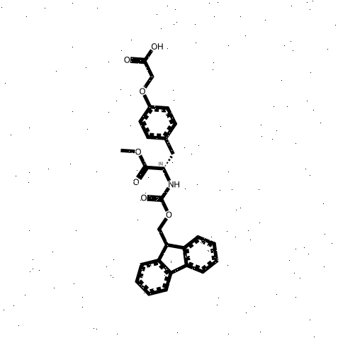 COC(=O)[C@H](Cc1ccc(OCC(=O)O)cc1)NC(=O)OCC1c2ccccc2-c2ccccc21